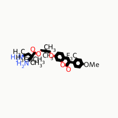 COc1ccc(-c2cc3ccc(OCC(C)(COC(=O)C(C)(CC(C)(C)N)C(C)(C)N)C(F)(F)F)cc3oc2=O)c(C(F)(F)F)c1